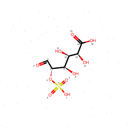 O=C[C@@H](OS(=O)(=O)O)[C@H](O)[C@@H](O)[C@H](O)C(=O)O